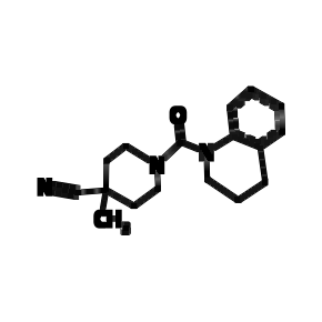 CC1(C#N)CCN(C(=O)N2CCCc3ccccc32)CC1